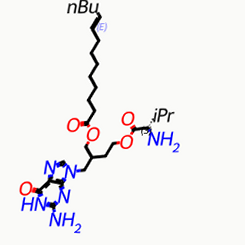 CCCC/C=C/CCCCCCCC(=O)OCC(CCOC(=O)[C@@H](N)C(C)C)Cn1cnc2c(=O)[nH]c(N)nc21